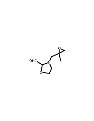 CC1(CN2CCOC2C=O)CO1